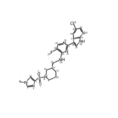 Cn1cnc(S(=O)(=O)N2CCC[C@H](CNc3nc(-c4c[nH]c5ncc(Cl)cc45)ncc3F)C2)c1